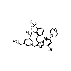 Cc1c(Cc2c(CN3CCCC(CO)C3)nc3c(Br)cc(N4CCOCC4)nn23)cccc1C(F)(F)F